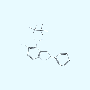 CC1(C)OB(c2c(Cl)ccc3c2CC(c2ccccc2)O3)OC1(C)C